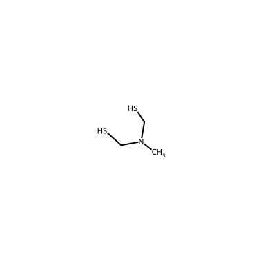 CN(CS)CS